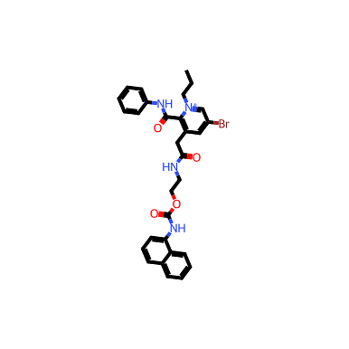 CCC[n+]1cc(Br)cc(CC(=O)NCCOC(=O)Nc2cccc3ccccc23)c1C(=O)Nc1ccccc1